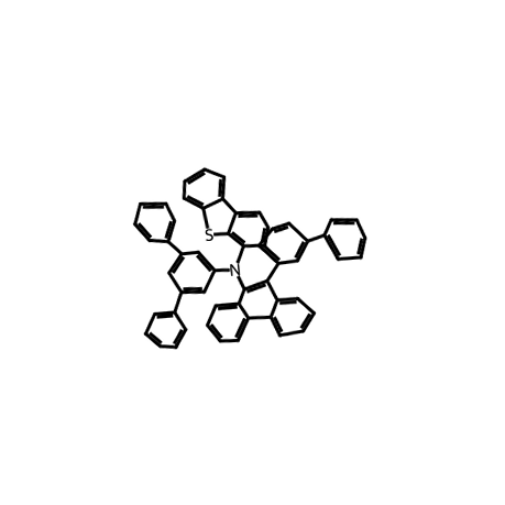 c1ccc(-c2cccc(-c3c(N(c4cc(-c5ccccc5)cc(-c5ccccc5)c4)c4cccc5c4sc4ccccc45)c4ccccc4c4ccccc34)c2)cc1